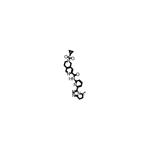 C[C@H]1CCc2nnc(-c3cccc(NC(=O)c4cc5c(cn4)CCN(S(=O)(=O)C4CC4)C5)n3)n21